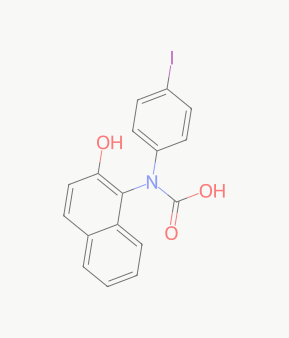 O=C(O)N(c1ccc(I)cc1)c1c(O)ccc2ccccc12